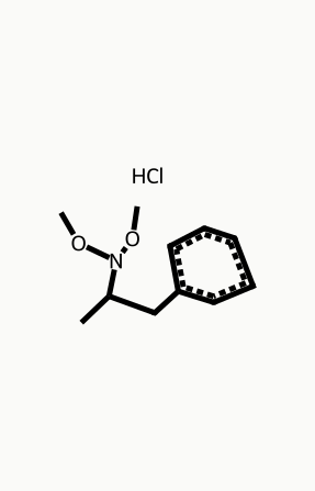 CON(OC)C(C)Cc1ccccc1.Cl